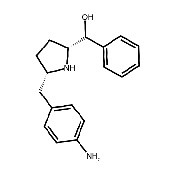 Nc1ccc(C[C@@H]2CC[C@H](C(O)c3ccccc3)N2)cc1